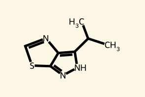 CC(C)c1[nH]nc2scnc12